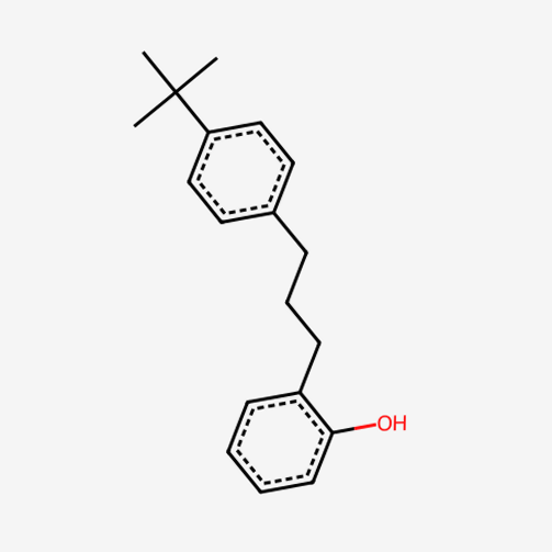 CC(C)(C)c1ccc(CCCc2ccccc2O)cc1